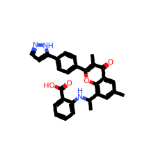 Cc1cc(C(C)Nc2ccccc2C(=O)O)c2oc(-c3ccc(-c4ccn[nH]4)cc3)c(C)c(=O)c2c1